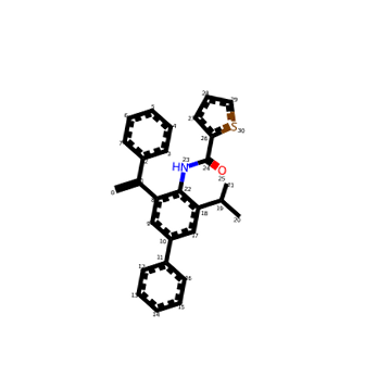 C=C(c1ccccc1)c1cc(-c2ccccc2)cc(C(C)C)c1NC(=O)c1cccs1